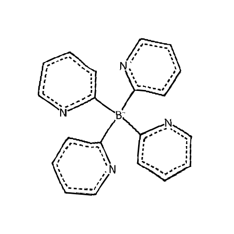 c1ccc([B-](c2ccccn2)(c2ccccn2)c2ccccn2)nc1